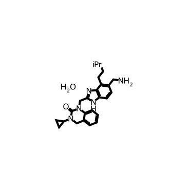 CC(C)CCc1c(CN)ccc2[nH]c(CN3C(=O)N(C4CC4)Cc4ccccc43)nc12.O